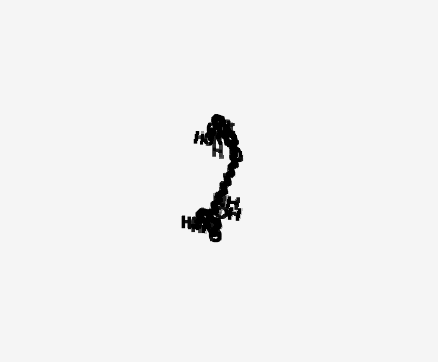 O=C(O)NC(c1ccccc1)c1cc(OCCCCCCCCCNC[C@@H](O)c2ccc(O)c3[nH]c(=O)ccc23)ccc1Br